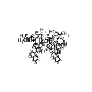 CC(=O)N1CC[C@H]2CC[C@@H](C(=O)N[C@@H]3CCOc4ccccc43)N2C(=O)[C@@H](NC(=O)[C@H](C)N(C)C(=O)OC(C)(C)C)C1.CN[C@@H](C)C(=O)N[C@H]1CN(C(C)=O)CC[C@H]2CC[C@@H](C(=O)N[C@@H]3CCOc4ccccc43)N2C1=O.Cl